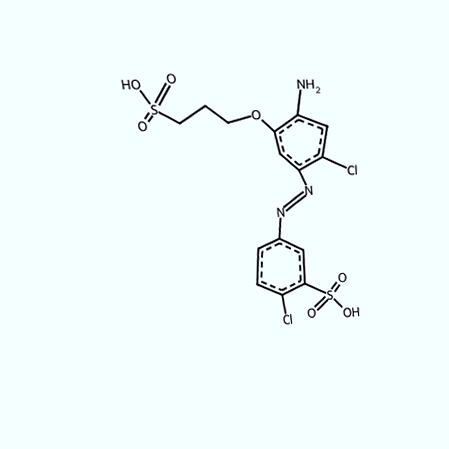 Nc1cc(Cl)c(N=Nc2ccc(Cl)c(S(=O)(=O)O)c2)cc1OCCCS(=O)(=O)O